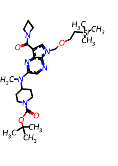 CN(c1cnc2c(n1)c(C(=O)N1CCC1)cn2COCC[Si](C)(C)C)C1CCN(C(=O)OC(C)(C)C)CC1